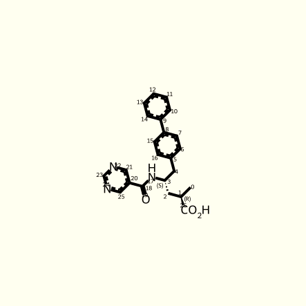 C[C@H](C[C@@H](Cc1ccc(-c2ccccc2)cc1)NC(=O)c1cncnc1)C(=O)O